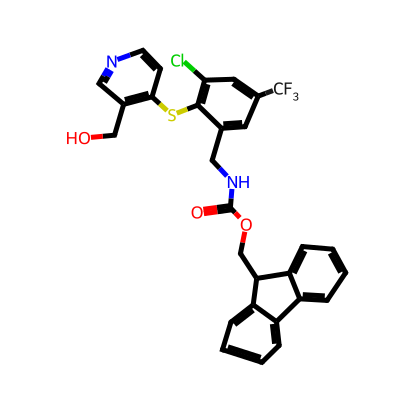 O=C(NCc1cc(C(F)(F)F)cc(Cl)c1Sc1ccncc1CO)OCC1c2ccccc2-c2ccccc21